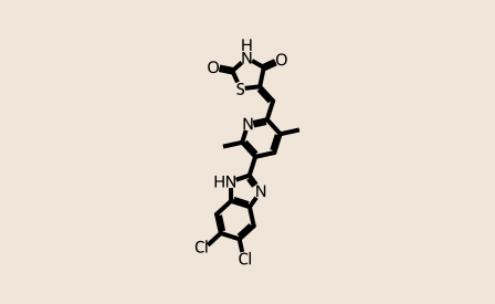 Cc1cc(-c2nc3cc(Cl)c(Cl)cc3[nH]2)c(C)nc1C=C1SC(=O)NC1=O